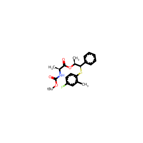 Cc1cc(F)ccc1S[C@H](c1ccccc1)[C@H](C)OC(=O)[C@H](C)NC(=O)OC(C)(C)C